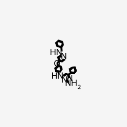 Nc1nc(Nc2ccc(Oc3ccnc(NCc4ccccc4)c3)cc2)cc(-c2ccccc2)n1